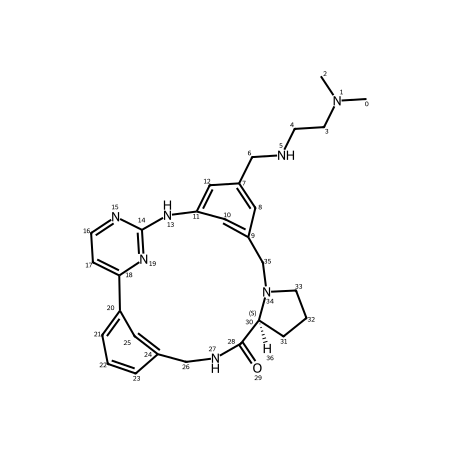 CN(C)CCNCc1cc2cc(c1)Nc1nccc(n1)-c1cccc(c1)CNC(=O)[C@@H]1CCCN1C2